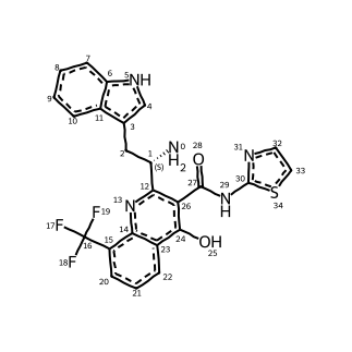 N[C@@H](Cc1c[nH]c2ccccc12)c1nc2c(C(F)(F)F)cccc2c(O)c1C(=O)Nc1nccs1